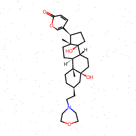 C[C@]12CC[C@H]([CH]CN3CCOCC3)C[C@@]1(O)CC[C@@H]1[C@@H]2CC[C@]2(C)[C@@H](c3ccc(=O)oc3)CC[C@]12O